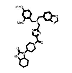 COc1ccc(CN(Cc2ccc3c(c2)OCO3)Cc2nc(C(=O)N3CCC(N4C(=O)NC5CCCCC54)CC3)cs2)c(OC)c1